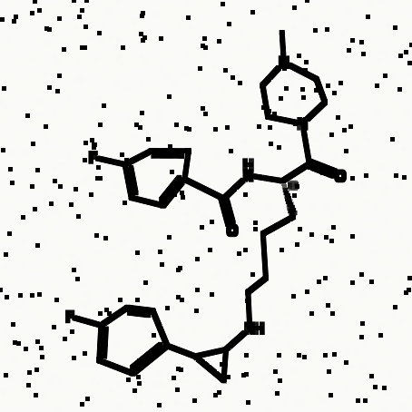 CN1CCN(C(=O)[C@H](CCCCNC2CC2c2ccc(F)cc2)NC(=O)c2ccc(F)cc2)CC1